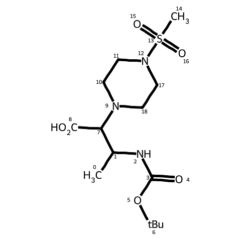 CC(NC(=O)OC(C)(C)C)C(C(=O)O)N1CCN(S(C)(=O)=O)CC1